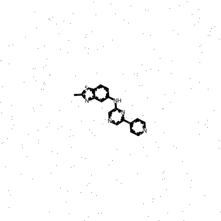 Cc1nc2cc(Nc3cncc(-c4ccncc4)n3)ccc2s1